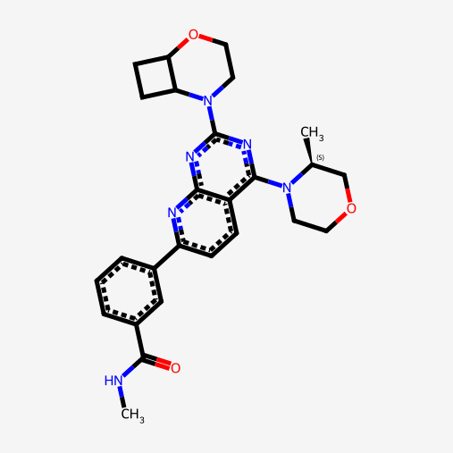 CNC(=O)c1cccc(-c2ccc3c(N4CCOC[C@@H]4C)nc(N4CCOC5CCC54)nc3n2)c1